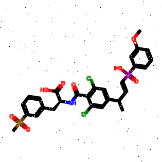 COc1cccc(P(=O)(O)/C=C/C(C)c2cc(Cl)c(C(=O)N[C@@H](Cc3cccc(S(C)(=O)=O)c3)C(=O)O)c(Cl)c2)c1